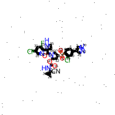 Cn1cc(-c2ccc(S(=O)(=O)[C@@H]3C[C@H](OC(=O)NC4(C#N)CC4)N(C(=O)C4(c5ncc(Cl)cc5F)CCN4)C3)c(Cl)c2)cn1